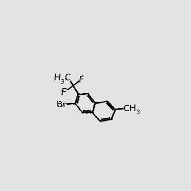 Cc1ccc2cc(Br)c(C(C)(F)F)cc2c1